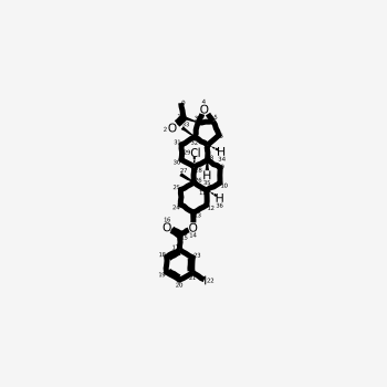 CC(=O)[C@@]12OC1C[C@H]1[C@@H]3CC[C@H]4CC(OC(=O)c5cccc(I)c5)CC[C@]4(C)[C@@]3(Cl)CC[C@@]12C